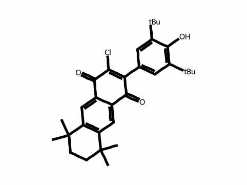 CC(C)(C)c1cc(C2=C(Cl)C(=O)c3cc4c(cc3C2=O)C(C)(C)CCC4(C)C)cc(C(C)(C)C)c1O